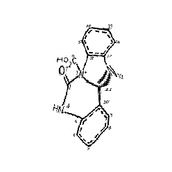 O=C(O)[N+]12C(=O)Nc3ccccc3C1=Nc1ccccc12